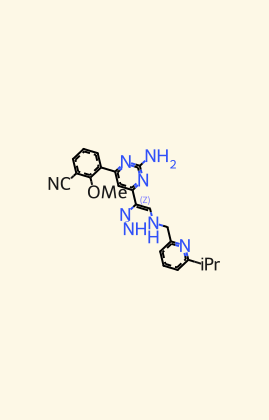 COc1c(C#N)cccc1-c1cc(/C(=C/NCc2cccc(C(C)C)n2)N=N)nc(N)n1